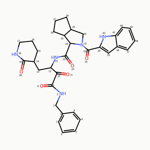 O=C(NCc1ccccc1)C(=O)C(CC1CCCNC1=O)NC(=O)C1C2CCCC2CN1C(=O)c1cc2ccccc2[nH]1